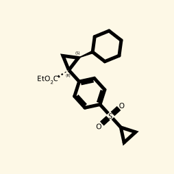 CCOC(=O)[C@]1(c2ccc(S(=O)(=O)C3CC3)cc2)C[C@H]1C1CCCCC1